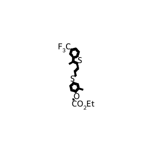 CCOC(=O)COc1ccc(SC/C=C/c2sc3ccc(C(F)(F)F)cc3c2C)cc1C